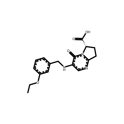 CCOc1cccc(CNc2cnc3n(c2=O)[C@H](C(=O)O)CC3)c1